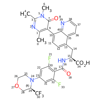 Cc1nc(C)n(C)c(=O)c1-c1ccc(C[C@H](NC(=O)c2c(F)cc(N3CCOC[C@@H]3C(F)(F)F)cc2F)C(=O)O)c2cccnc12